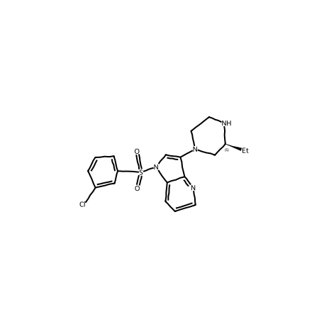 CC[C@H]1CN(c2cn(S(=O)(=O)c3cccc(Cl)c3)c3cccnc23)CCN1